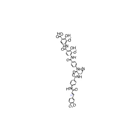 COc1c(NC(=O)c2ccc(NC(=O)c3ccc(NC(=O)C(CC#N)NC(=O)c4ccc(NC(=O)/C=C/c5ccc6c(c5)OCO6)cc4)cc3)c(OC)c2O)ccc(C(=O)O)c1O